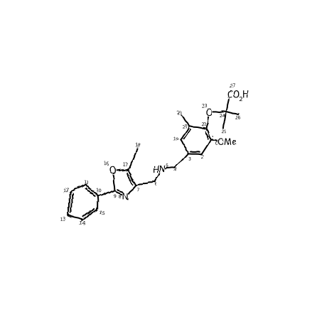 COc1cc(CNCc2nc(-c3ccccc3)oc2C)cc(C)c1OC(C)(C)C(=O)O